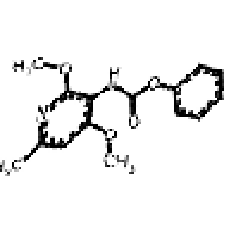 COc1cc(C)nc(OC)c1NC(=O)Oc1ccccc1